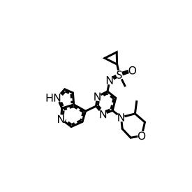 CC1COCCN1c1cc(N=S(C)(=O)C2CC2)nc(-c2ccnc3[nH]ccc23)n1